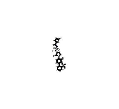 C/C(=C\S(=O)(=O)N[C@H]1CCN(c2ccc(-c3ccccc3S(C)(=O)=O)cc2F)C1=O)c1ccc(Cl)s1